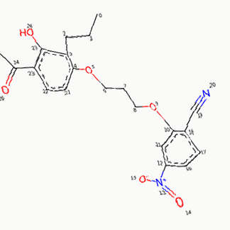 CCCc1c(OCCCOc2cc([N+](=O)[O-])ccc2C#N)ccc(C(C)=O)c1O